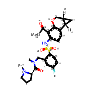 CCN1CCC[C@@H]1C(=O)N(C)Cc1cc(F)ccc1S(=O)(=O)Nc1ccc2c(c1C(=O)OC)OC[C@@H]1C[C@H]21